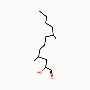 CCCCC(C)CCCC(C)CC(O)C=O